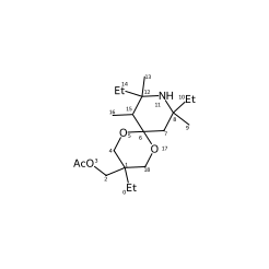 CCC1(COC(C)=O)COC2(CC(C)(CC)NC(C)(CC)C2C)OC1